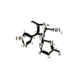 CC1=C(c2cn[nH]c2)N(c2nccc(C)n2)C(N)S1